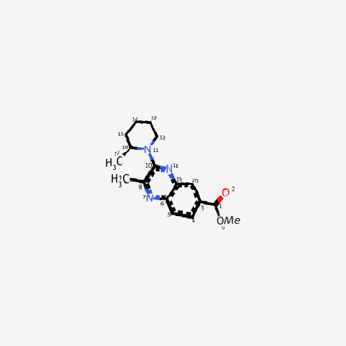 COC(=O)c1ccc2nc(C)c(N3CCCC[C@@H]3C)nc2c1